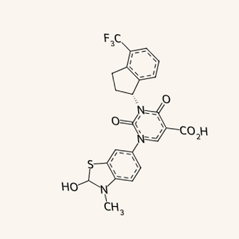 CN1c2ccc(-n3cc(C(=O)O)c(=O)n([C@@H]4CCc5c4cccc5C(F)(F)F)c3=O)cc2SC1O